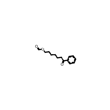 O=COCCCCCCC(=O)c1ccccc1